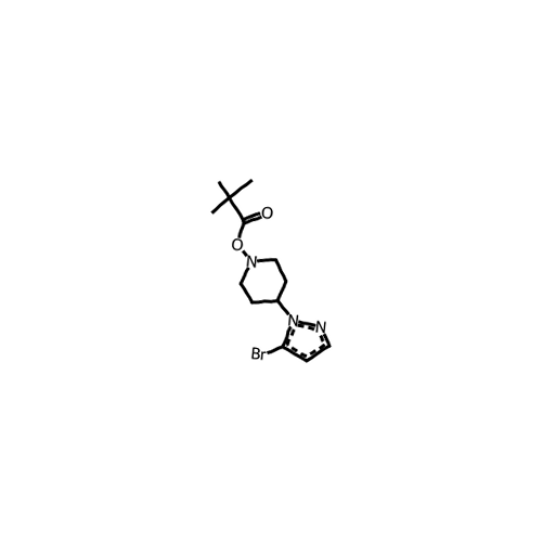 CC(C)(C)C(=O)ON1CCC(n2nccc2Br)CC1